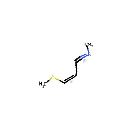 C/N=C/C=C\SC